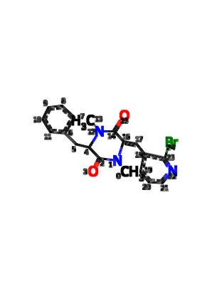 CN1C(=O)C(Cc2ccccc2)N(C)C(=O)C1=Cc1cccnc1Br